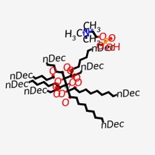 CCCCCCCCCCCCCCCCCC(=O)C(OC(=O)CCCCCCCCCCC)(C(=O)CCCCCCCCCCCCCCCCC)[C@](OC(=O)CCCCCCCCCCC)(C(=O)CCCCCCCCCCCCCCC)C(OC(=O)CCCCCCCCCCCCC)(C(=O)CCCCCCCCCCCCC)C(=O)CCCCCCCCCCCCCCC.C[N+](C)(C)CCOP(=O)([O-])O